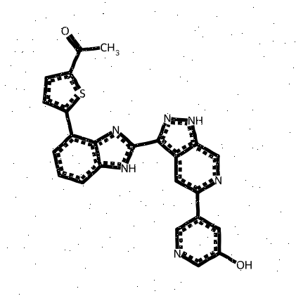 CC(=O)c1ccc(-c2cccc3[nH]c(-c4n[nH]c5cnc(-c6cncc(O)c6)cc45)nc23)s1